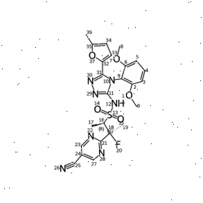 COc1cccc(OC)c1-n1c(NS(=O)(=O)[C@H](C)[C@@](C)(F)c2ncc(C#N)cn2)nnc1-c1ccc(C)o1